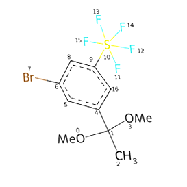 COC(C)(OC)c1cc(Br)cc(S(F)(F)(F)(F)F)c1